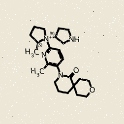 Cc1nc([N+]2([C@@H]3CCNC3)CCC[C@@H]2C)ccc1N1CCCC2(CCOCC2)C1=O